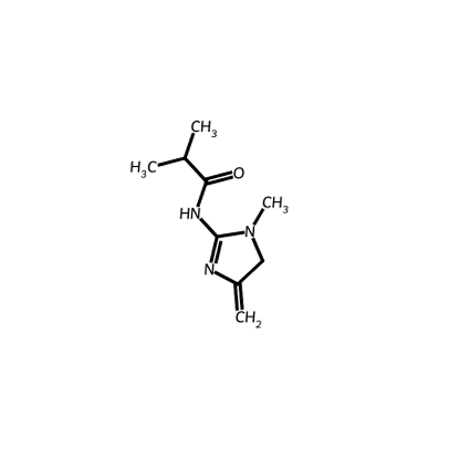 C=C1CN(C)C(NC(=O)C(C)C)=N1